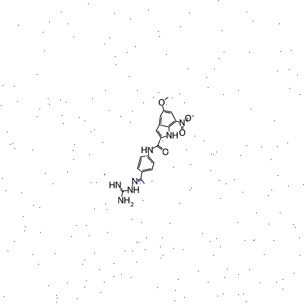 COc1cc([N+](=O)[O-])c2[nH]c(C(=O)Nc3ccc(/C(C)=N/NC(=N)N)cc3)cc2c1